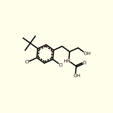 CC(C)(C)c1cc(CC(CO)NC(=O)O)c(Cl)cc1Cl